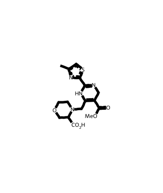 COC(=O)C1=C(CN2CCOCC2C(=O)O)NC(c2nc(C)cs2)=NC1